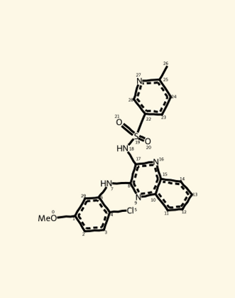 COc1ccc(Cl)c(Nc2nc3ccccc3nc2NS(=O)(=O)c2ccc(C)nc2)c1